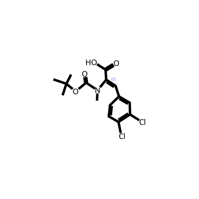 CN(C(=O)OC(C)(C)C)/C(=C\c1ccc(Cl)c(Cl)c1)C(=O)O